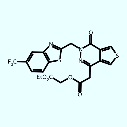 CCOC(=O)COC(=O)Cc1nn(Cc2nc3cc(C(F)(F)F)ccc3s2)c(=O)c2cscc12